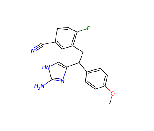 COc1ccc(C(Cc2cc(C#N)ccc2F)c2c[nH]c(N)n2)cc1